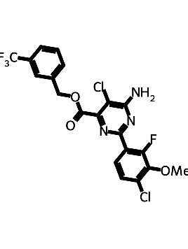 COc1c(Cl)ccc(-c2nc(N)c(Cl)c(C(=O)OCc3cccc(C(F)(F)F)c3)n2)c1F